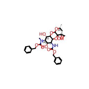 C[C@@H]1C[C@@]2(CO2)[C@]2(O)OC3C(OC2O1)[C@@H](O)[C@H](N(C)C(=O)OCc1ccccc1)[C@H](O)[C@@H]3NC(=O)OCc1ccccc1